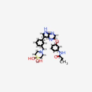 C=CC(=O)Nc1cccc(Oc2cnc3[nH]cc(-c4cccc(CN5CCS(O)(O)CC5)c4)c3n2)c1